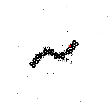 Nc1cc2c(CN3CC4CCC5C6CCC7C8CCCC9CCCC(C%10CC[C@@H](C%11CCC(C3)C4C5%11)C6C7%10)C98)c(N)cc3nc4c5ccc(-c6ccc7c8c6cccc8c(=O)n6c8cc([N+](=O)[O-])cc9c(CN%10CC%11CCC%12C%13CCC%14C%15CCCC%16CCCC(C%17CCC(C%18CCC(C%10)C%11C%12%18)C%13C%14%17)C%16%15)c([N+](=O)[O-])cc(nc76)c98)c6cccc(c(=O)n4c(c1)c32)c65